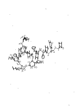 CNCCC[C@@H](CNC(=O)CNC(=O)[C@@H]1Cc2cc(ccc2O)-c2ccc(O)c(c2)C[C@H](NC)C(=O)N[C@@H](CCCNC)C(=O)N1)NC